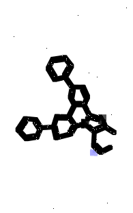 C/C=C\c1c(C)nc2c3ccc(-c4ccccc4)cc3c3cc(-c4ccccc4)ccc3n12